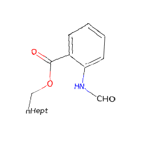 CCCCCCCCOC(=O)c1ccccc1NC=O